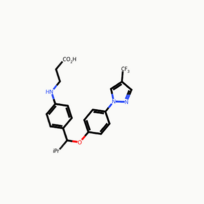 CC(C)C(Oc1ccc(-n2cc(C(F)(F)F)cn2)cc1)c1ccc(NCCC(=O)O)cc1